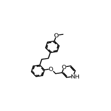 COc1ccc(CCc2ccccc2OCC2=CNC=CO2)cc1